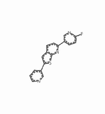 Fc1ccc(-c2ccc3cc(-c4cccnc4)sc3n2)cn1